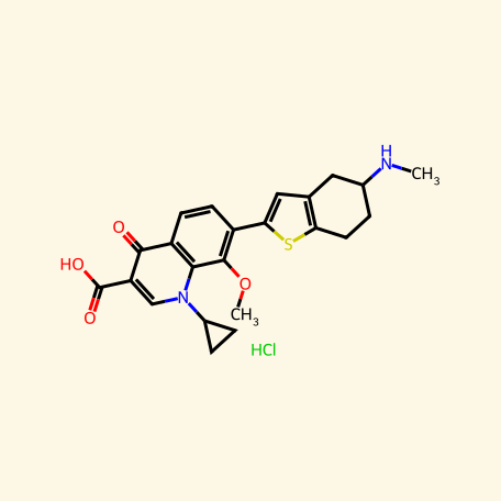 CNC1CCc2sc(-c3ccc4c(=O)c(C(=O)O)cn(C5CC5)c4c3OC)cc2C1.Cl